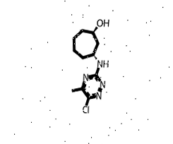 Cc1nc(N[C@@H]2CCCC[C@@H](O)C2)nnc1Cl